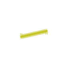 S=[SH](=S)S(=S)(=S)S(=S)(=S)S(=S)(=S)S(=S)(=S)S(=S)(=S)S(=S)(=S)S(=S)(=S)S(=S)(=S)S(=S)(=S)S(=S)(=S)S(=S)(=S)S(=S)(=S)S(=S)(=S)S(=S)(=S)S(=S)(=S)S(=S)(=S)S(=S)(=S)S(=S)(=S)S(=S)(=S)S(=S)(=S)S(=S)(=S)S(=S)(=S)S(=S)(=S)S(=S)(=S)S(=S)(=S)S(=S)(=S)S(=S)(=S)[SH](=S)=S